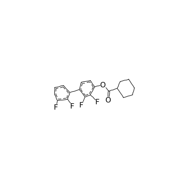 O=C(Oc1ccc(-c2cccc(F)c2F)c(F)c1F)C1CCCCC1